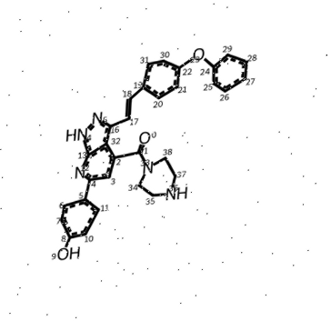 O=C(c1cc(-c2ccc(O)cc2)nc2[nH]nc(/C=C/c3ccc(Oc4ccccc4)cc3)c12)N1CCNCC1